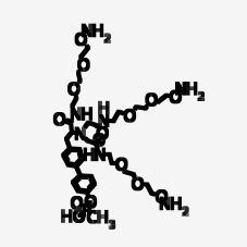 CP(=O)(O)Oc1ccc(-c2ccc(CC(C(=O)NCCOCCOCCON)N(CC(=O)NCCOCCOCCON)CC(=O)NCCOCCOCCON)cc2)cc1